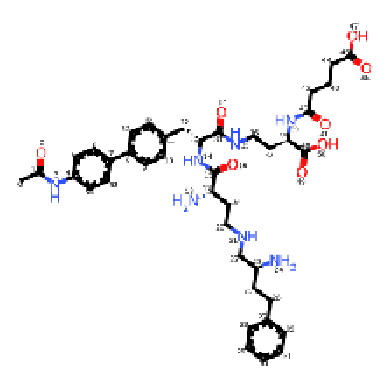 CC(=O)Nc1ccc(-c2ccc(C[C@@H](NC(=O)[C@@H](N)CCNC[C@@H](N)CCc3ccccc3)C(=O)NCC[C@@H](NC(=O)CCCC(=O)O)C(=O)O)cc2)cc1